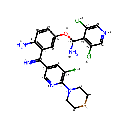 N=C(c1cnc(N2CCSCC2)c(F)c1)c1cc(O[C@H](N)c2c(Cl)cncc2Cl)ccc1N